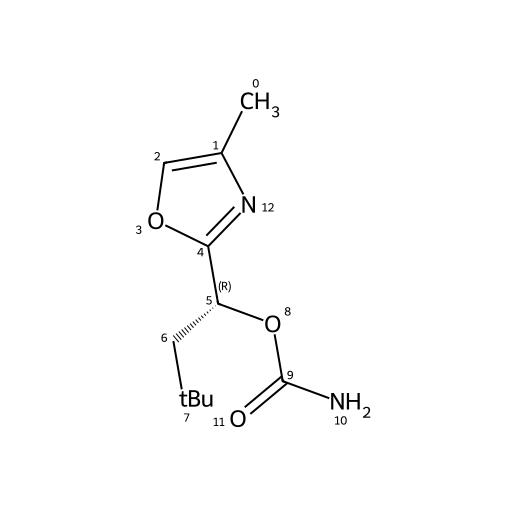 Cc1coc([C@@H](CC(C)(C)C)OC(N)=O)n1